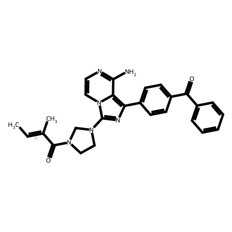 C/C=C(\C)C(=O)N1CCN(c2nc(-c3ccc(C(=O)c4ccccc4)cc3)c3c(N)nccn23)C1